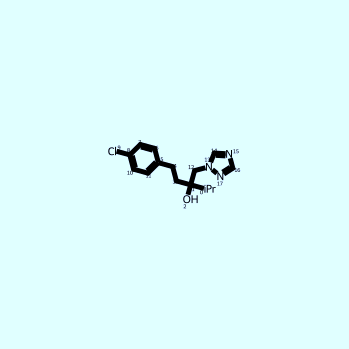 CC(C)C(O)(CCc1ccc(Cl)cc1)Cn1cncn1